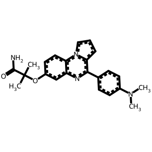 CN(C)c1ccc(-c2nc3cc(OC(C)(C)C(N)=O)ccc3n3cccc23)cc1